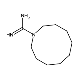 N=C(N)N1CCCCCCCCC1